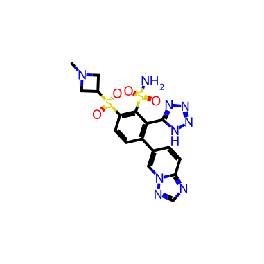 CN1CC(S(=O)(=O)c2ccc(-c3ccc4ncnn4c3)c(-c3nnn[nH]3)c2S(N)(=O)=O)C1